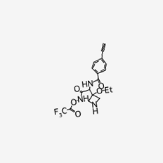 C#Cc1ccc(C(=O)NC(C(=O)NOC(=O)C(F)(F)F)C2(OCC)CNC2)cc1